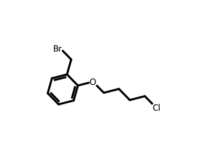 ClCCCCOc1ccccc1CBr